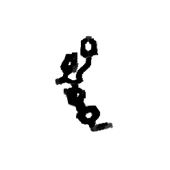 COc1ccc(-c2csc(N(CCCN3CCOCC3)C(=O)c3ccno3)n2)cc1